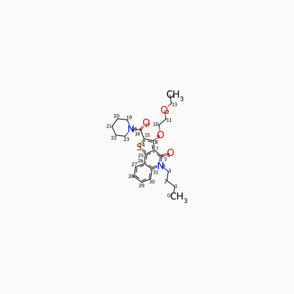 CCCCn1c(=O)c2c(OCCOCC)c(C(=O)N3CCCCC3)sc2c2ccccc21